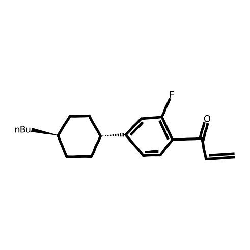 C=CC(=O)c1ccc([C@H]2CC[C@H](CCCC)CC2)cc1F